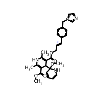 COC(=O)C1=C(C)NC(C)=C(C(=O)OC/C=C/c2ccc(Cn3ccnc3)cc2)C1C1(OC)C=CC=CN1